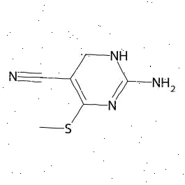 CSC1=C(C#N)[CH]NC(N)=N1